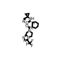 N#CC1(NC(=O)[C@@H]2CCCC[C@H]2C(=O)N2CCn3c(nnc3C(F)(F)F)C2)CC1